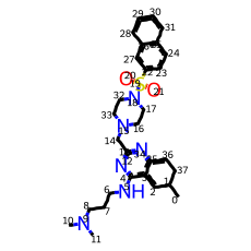 CC1C=c2c(NCCCN(C)C)nc(CN3CCN(S(=O)(=O)c4ccc5c(c4)C=C=C=C5)CC3)nc2=CC1